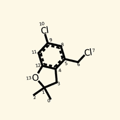 CC1(C)Cc2c(CCl)cc(Cl)cc2O1